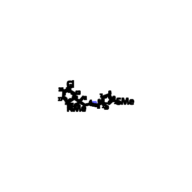 CCC(C)(C/C=C/c1ccc(SC)s1)c1cc(Cl)ccc1NC